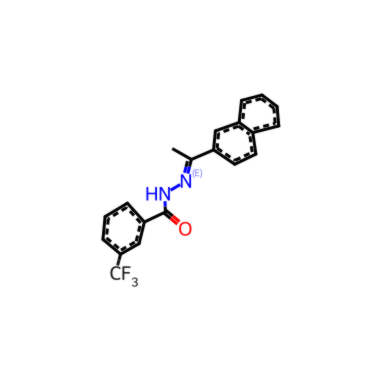 C/C(=N\NC(=O)c1cccc(C(F)(F)F)c1)c1ccc2ccccc2c1